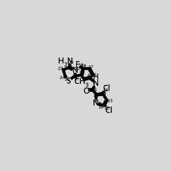 CC1(c2cc(NC(=O)c3ncc(Cl)cc3Cl)ccc2F)N=C(N)CCS1